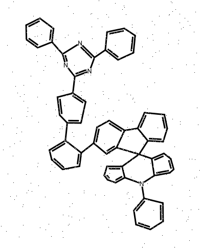 c1ccc(-c2nc(-c3ccccc3)nc(-c3ccc(-c4ccccc4-c4ccc5c(c4)C4(c6ccccc6-5)c5ccccc5N(c5ccccc5)c5ccccc54)cc3)n2)cc1